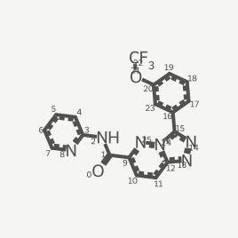 O=C(Nc1ccccn1)c1ccc2nnc(-c3cccc(OC(F)(F)F)c3)n2n1